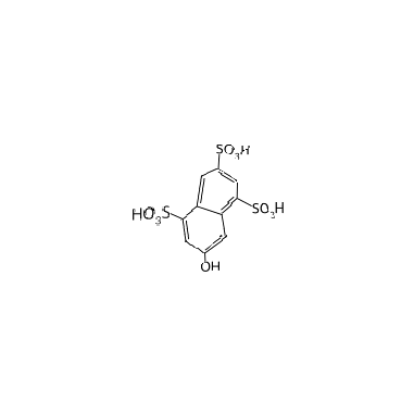 O=S(=O)(O)c1cc(S(=O)(=O)O)c2cc(O)cc(S(=O)(=O)O)c2c1